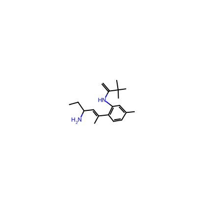 C=C(Nc1cc(C)ccc1/C(C)=C/C(N)CC)C(C)(C)C